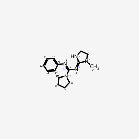 CN1CCN/C1=N\C(=N\c1ccccc1)N1CCCC1